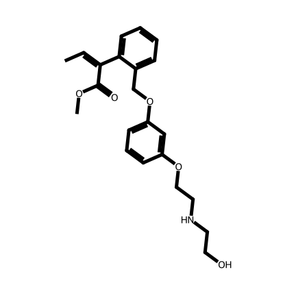 CC=C(C(=O)OC)c1ccccc1COc1cccc(OCCNCCO)c1